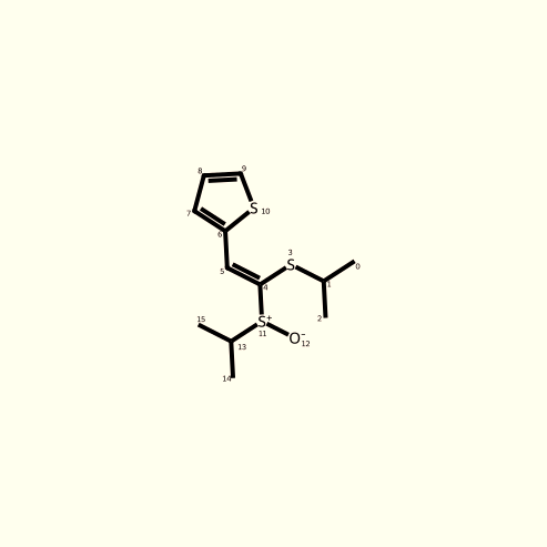 CC(C)SC(=Cc1cccs1)[S+]([O-])C(C)C